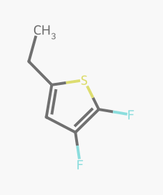 CCc1cc(F)c(F)s1